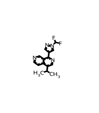 CC(C)c1cnc(-c2cnn(C(F)F)c2)c2cnccc12